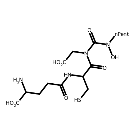 CCCCCN(O)C(=O)N(CC(=O)O)C(=O)C(CS)NC(=O)CCC(N)C(=O)O